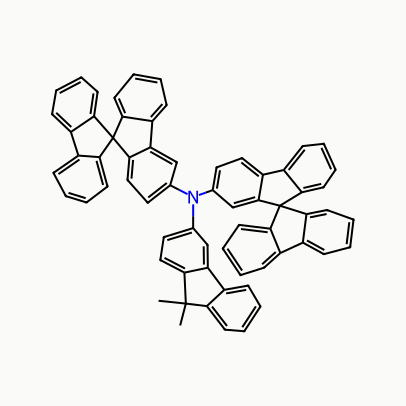 CC1(C)c2ccccc2-c2cc(N(c3ccc4c(c3)-c3ccccc3C43c4ccccc4-c4ccccc43)c3ccc4c(c3)C3(c5ccccc5-c5ccccc53)c3ccccc3-4)ccc21